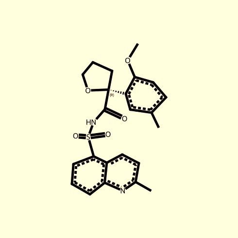 COc1ccc(C)cc1[C@@]1(C(=O)NS(=O)(=O)c2cccc3nc(C)ccc23)CCCO1